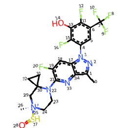 Cc1nn(-c2cc(C(F)(F)F)c(F)c(O)c2F)c2cc(F)c(N3CC[N@@+](C)([SH]=O)CC34CC4)nc12